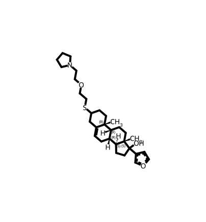 C[C@]12CCC(SCCOCCN3CCCC3)CC1=CC[C@@H]1[C@H]2CC[C@@]2(C)[C@H]1CCC2(O)c1ccoc1